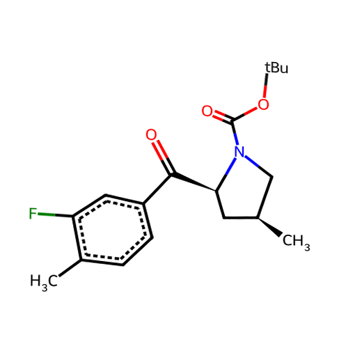 Cc1ccc(C(=O)[C@@H]2C[C@H](C)CN2C(=O)OC(C)(C)C)cc1F